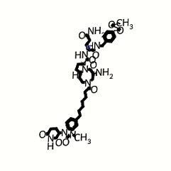 Cn1c(=O)n(C2CCC(=O)NC2=O)c2ccc(CCCCCCC(=O)N3CC[C@H]4CC[C@@H](C(=O)N/C(=C/CC(N)=O)C(=O)NCc5ccc(S(C)(=O)=O)cc5)N4C(=O)[C@@H](N)C3)cc21